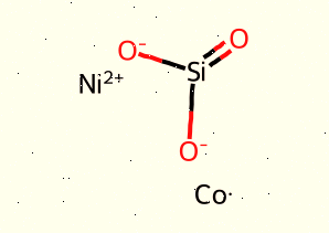 O=[Si]([O-])[O-].[Co].[Ni+2]